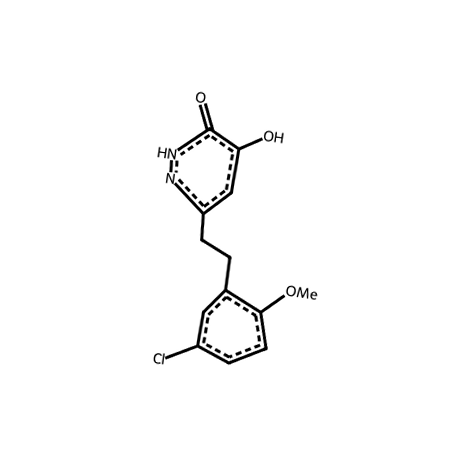 COc1ccc(Cl)cc1CCc1cc(O)c(=O)[nH]n1